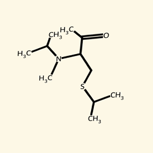 CC(=O)C(CSC(C)C)N(C)C(C)C